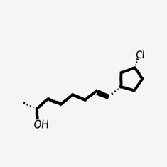 C[C@@H](O)CCCC/C=C/[C@H]1CC[C@@H](Cl)C1